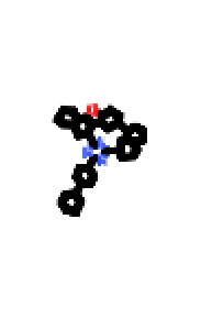 c1ccc(-c2ccc(-c3nc(-c4ccccc4)nc(-c4cc5ccccc5c5oc6ccc(-c7ccccc7)cc6c45)n3)cc2)cc1